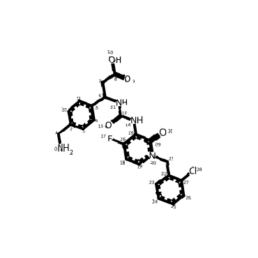 NCc1ccc(C(CC(=O)O)NC(=O)Nc2c(F)ccn(Cc3ccccc3Cl)c2=O)cc1